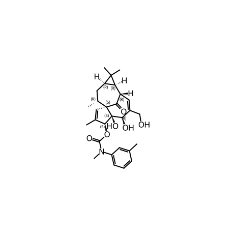 CC1=C[C@]23C(=O)[C@@H](C=C(CO)[C@@H](O)[C@]2(O)[C@H]1OC(=O)N(C)c1cccc(C)c1)[C@H]1[C@@H](C[C@H]3C)C1(C)C